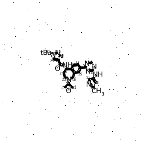 Cn1cc(Nc2ncnc(-c3ccc4c(c3)CN(C3COC3)CCC4NC(=O)c3cn(C(C)(C)C)nn3)n2)cn1